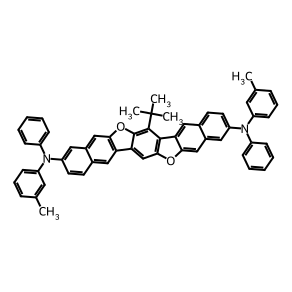 Cc1cccc(N(c2ccccc2)c2ccc3cc4c(cc3c2)oc2c(C(C)(C)C)c3c(cc24)oc2cc4cc(N(c5ccccc5)c5cccc(C)c5)ccc4cc23)c1